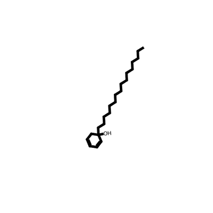 CCCCCCCCCCCCCCCCC1(O)C=CC=CC1